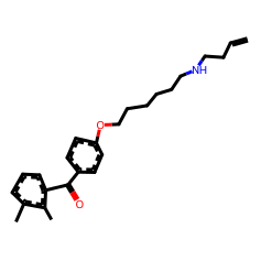 C=CCCNCCCCCCOc1ccc(C(=O)c2cccc(C)c2C)cc1